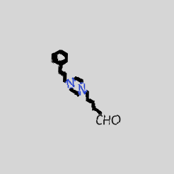 O=CCCCCCN1CCN(CCCc2ccccc2)CC1